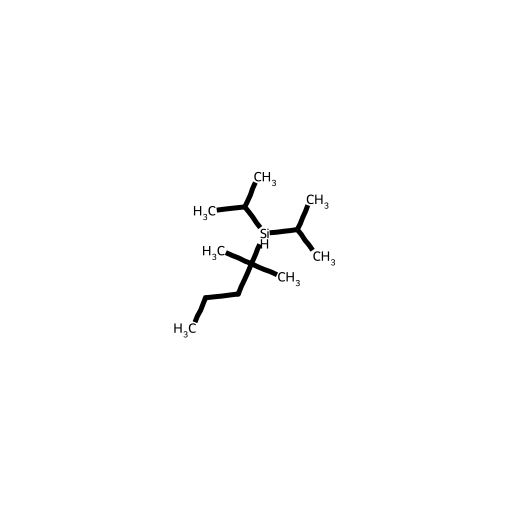 CCCC(C)(C)[SiH](C(C)C)C(C)C